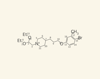 CCOC(CN1CCC(CCCOc2ccc(Br)c(C)c2)CC1)OCC